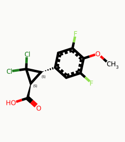 COc1c(F)cc([C@@H]2[C@@H](C(=O)O)C2(Cl)Cl)cc1F